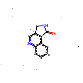 O=C1NCc2cnc3ccccc3c21